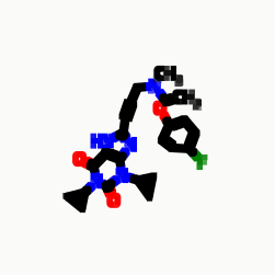 C=C(Oc1ccc(F)cc1)N(C)CC#Cc1nc2c([nH]1)c(=O)n(C1CC1)c(=O)n2C1CC1